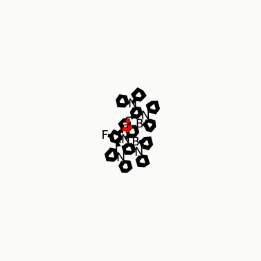 Fc1cc(F)c(N2c3cc(N(c4ccccc4)c4ccccc4)cc4c3B(c3ccccc3N4c3ccccc3)c3cc4c(c(F)c32)Sc2cc(N(c3ccccc3)c3ccccc3)cc3c2B4c2ccccc2N3c2ccccc2)c(-c2ccccc2)c1